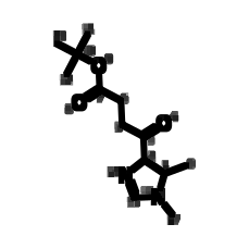 CC1C(C(=O)CCC(=O)OC(C)(C)C)N=CN1C